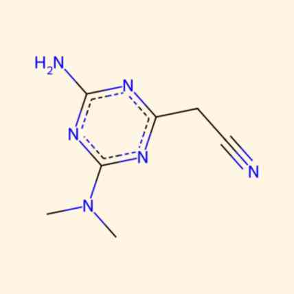 CN(C)c1nc(N)nc(CC#N)n1